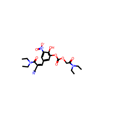 CCN(CC)C(=O)COC(=O)Oc1cc(C=C(C#N)C(=O)N(CC)CC)cc([N+](=O)[O-])c1O